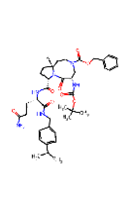 CC(C)c1ccc(CNC(=O)[C@H](CCC(N)=O)NC(=O)[C@@H]2CC[C@@H]3CCN(C(=O)OCc4ccccc4)C[C@H](NC(=O)OC(C)(C)C)C(=O)N32)cc1